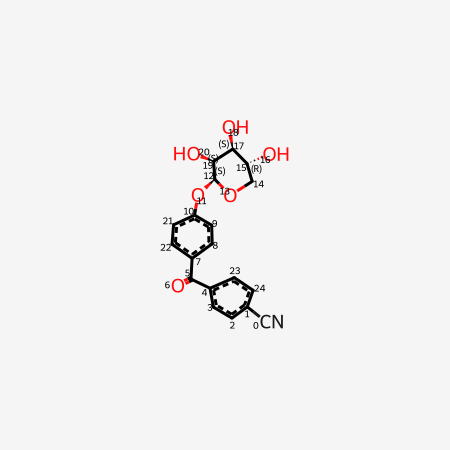 N#Cc1ccc(C(=O)c2ccc(O[C@@H]3OC[C@@H](O)[C@H](O)[C@@H]3O)cc2)cc1